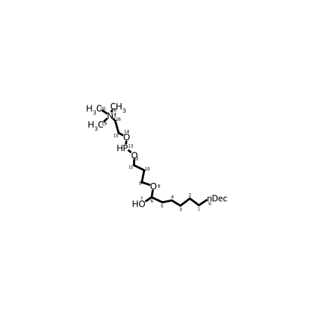 CCCCCCCCCCCCCCCC(O)OCCCOPOCC[N+](C)(C)C